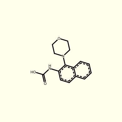 O=C(O)Nc1ccc2ccccc2c1N1CCOCC1